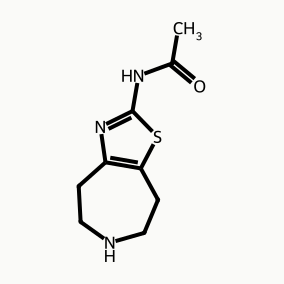 CC(=O)Nc1nc2c(s1)CCNCC2